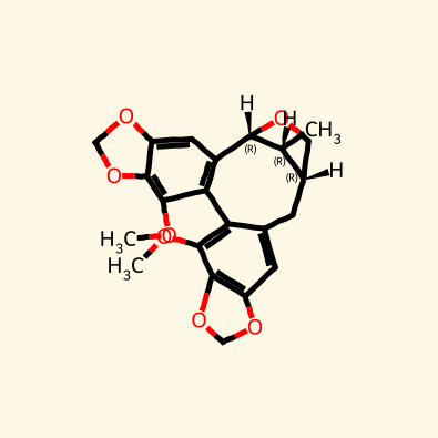 COc1c2c(cc3c1-c1c(cc4c(c1OC)OCO4)[C@@H]1OC[C@H](C3)[C@H]1C)OCO2